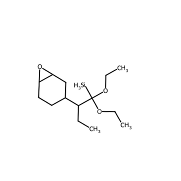 CCOC([SiH3])(OCC)C(CC)C1CCC2OC2C1